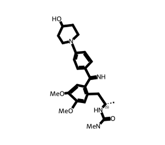 CNC(=O)N[C@@H](C)Cc1cc(OC)c(OC)cc1C(=N)c1ccc(N2CCC(O)CC2)cc1